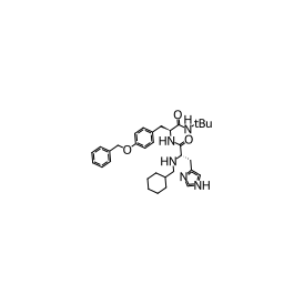 CC(C)(C)NC(=O)[C@H](Cc1ccc(OCc2ccccc2)cc1)NC(=O)[C@H](Cc1c[nH]cn1)NCC1CCCCC1